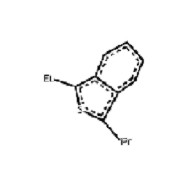 CCc1sc(C(C)C)c2ccccc12